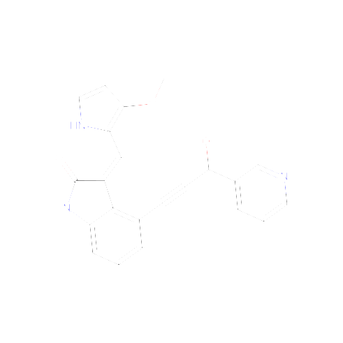 COc1cc[nH]c1/C=C1\C(=O)Nc2cccc(C#CC(O)c3cccnc3)c21